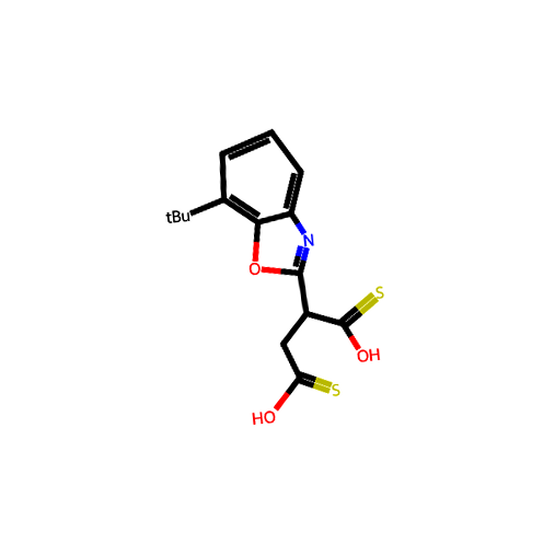 CC(C)(C)c1cccc2nc(C(CC(O)=S)C(O)=S)oc12